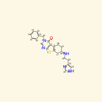 O=c1c2c3c(sc2ncn1Cc1ccccc1)CC(NCCc1c[nH]cn1)CC3